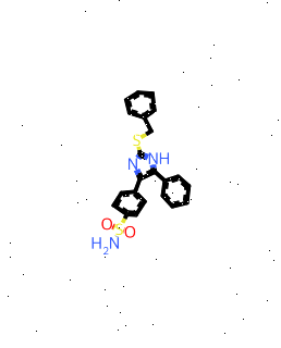 NS(=O)(=O)c1ccc(-c2nc(SCc3ccccc3)[nH]c2-c2ccccc2)cc1